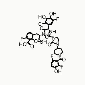 O=C(O)c1c(F)ccc2c1OB(O)[C@@H](NC(=O)[C@@H](NC(=O)N1CCN(C3CCN(C(=O)c4c(F)ccc(O)c4F)CC3)C1=O)c1cc(F)c(O)c(O)c1Cl)C2